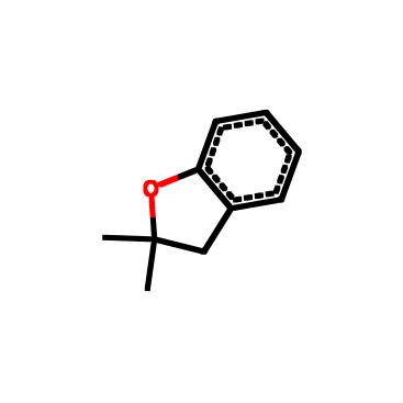 CC1(C)Cc2ccccc2O1